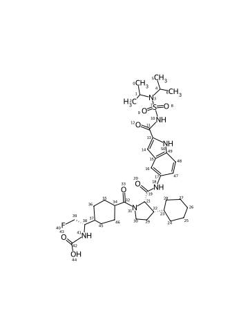 CC(C)N(C(C)C)S(=O)(=O)NC(=O)c1cc2cc(NC(=O)[C@@H]3[C@H](C4CCCCC4)CCN3C(=O)C3CCC([C@@H](CF)NC(=O)O)CC3)ccc2[nH]1